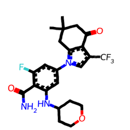 CC1(C)CC(=O)c2c(C(F)(F)F)cn(-c3cc(F)c(C(N)=O)c(NC4CCOCC4)c3)c2C1